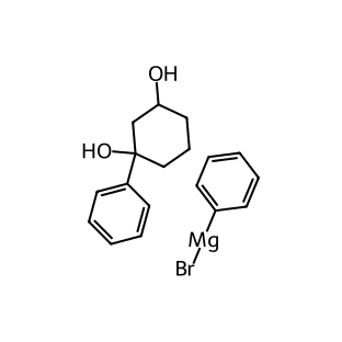 OC1CCCC(O)(c2ccccc2)C1.[Br][Mg][c]1ccccc1